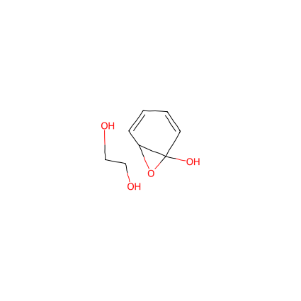 OC12C=CC=CC1O2.OCCO